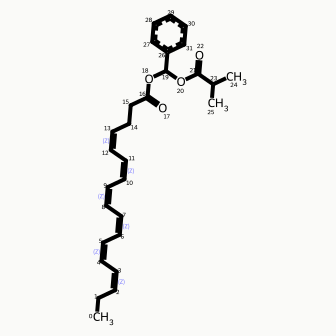 CC\C=C/C=C\C=C/C=C\C=C/C=C\CCC(=O)OC(OC(=O)C(C)C)c1ccccc1